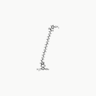 C=C1CC(C(C)(C)C)C(=O)N1Cc1cn(CCOCCOCCOCCOCCOCCOCCOCCNC(=O)N2CC[C@H](C)C2)nn1